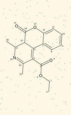 CCOC(=O)C1=C2c3ccccc3OC(=O)C2C(C)N=C1C